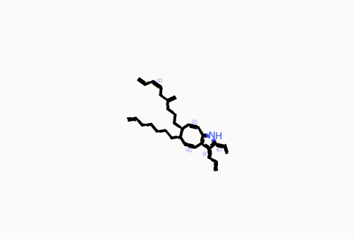 C=C/C=C\CC(=C)CCCC1/C=C\c2[nH]c(=C/C)/c(=C\C=C)c2/C=C\C1CCCCCC=C